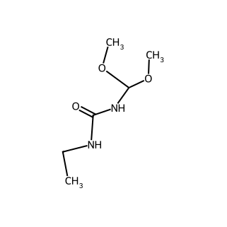 CCNC(=O)NC(OC)OC